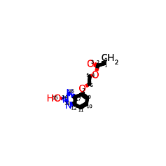 C=CC(=O)OCCOc1cccc2nn(O)nc12